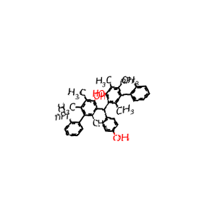 CCCc1ccccc1-c1c(C)c(C)c(O)c(C(c2ccc(O)cc2)c2c(C)c(-c3ccccc3CCC)c(C)c(C)c2O)c1C